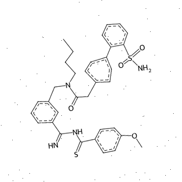 CCCCN(Cc1cccc(C(=N)NC(=S)c2ccc(OC)cc2)c1)C(=O)Cc1ccc(-c2ccccc2S(N)(=O)=O)cc1